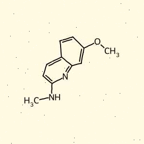 CNc1ccc2ccc(OC)cc2n1